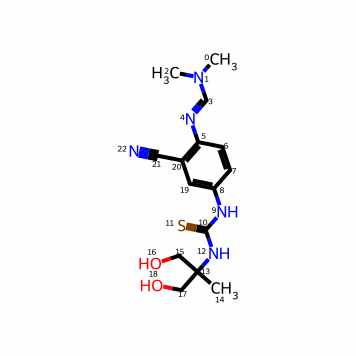 CN(C)/C=N/c1ccc(NC(=S)NC(C)(CO)CO)cc1C#N